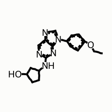 CCOc1ccc(-n2cnc3cnc(NC4CCC(O)C4)nc32)cc1